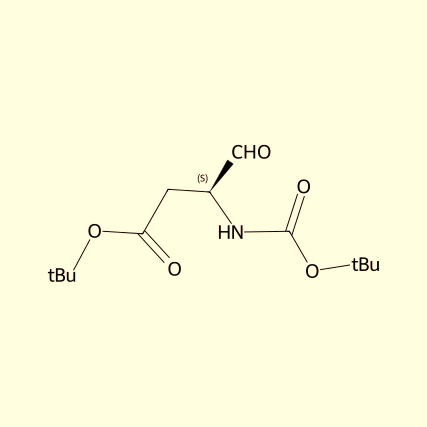 CC(C)(C)OC(=O)C[C@@H](C=O)NC(=O)OC(C)(C)C